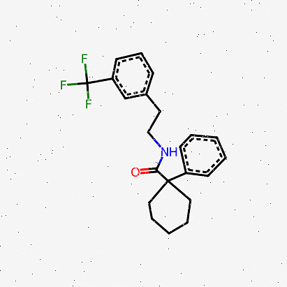 O=C(NCCc1cccc(C(F)(F)F)c1)C1(c2ccccc2)CCCCC1